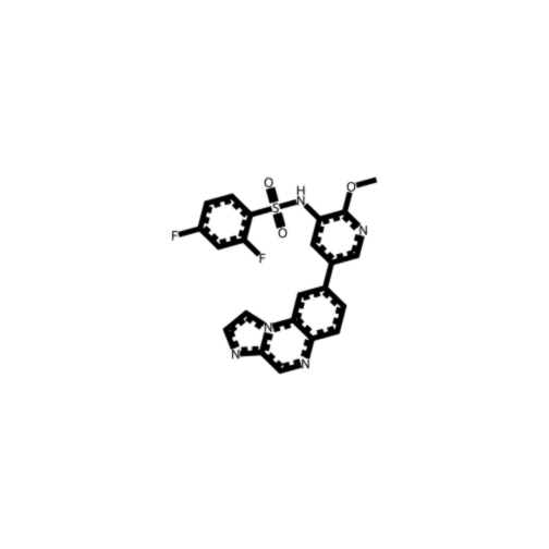 COc1ncc(-c2ccc3ncc4nccn4c3c2)cc1NS(=O)(=O)c1ccc(F)cc1F